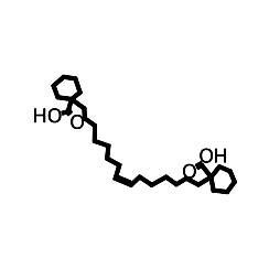 O=C(O)C1(CCCCCC/C=C\CCCCCCCC2(C(=O)O)CCCCC2)CCCCC1